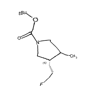 CC1CN(C(=O)OC(C)(C)C)C[C@H]1CF